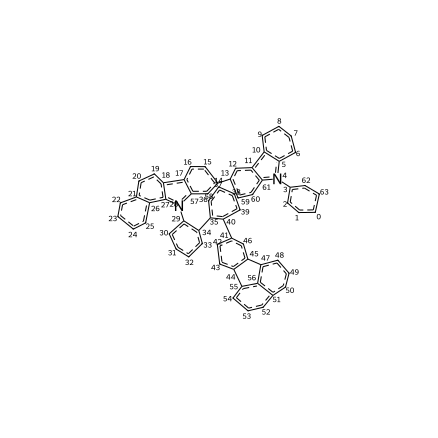 c1ccc(-n2c3ccccc3c3cc(-c4ccc5c6ccc7ccccc7c6n(-c6ccccc6-c6ccccc6-c6ccc7c(c6)-c6cccc8cccc-7c68)c5c4)ccc32)cc1